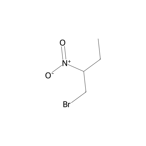 CCC(CBr)[N+](=O)[O-]